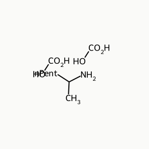 CCCCCC(C)N.O=C(O)O.O=C(O)O